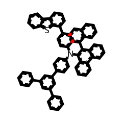 c1ccc(-c2cc(-c3ccccc3)cc(-c3ccc(N(c4ccc(-c5cccc6c5sc5ccccc56)cc4)c4c(-c5cccc6ccccc56)c5ccccc5c5ccccc45)cc3)c2)cc1